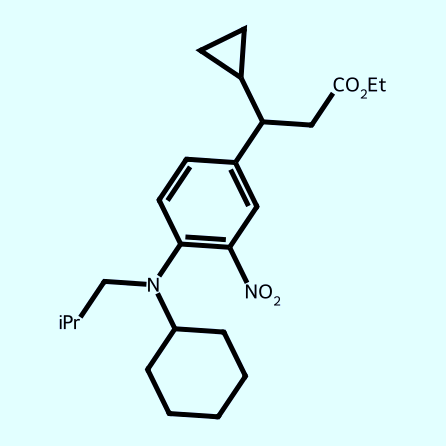 CCOC(=O)CC(c1ccc(N(CC(C)C)C2CCCCC2)c([N+](=O)[O-])c1)C1CC1